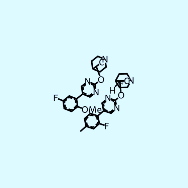 COc1ccc(F)cc1-c1cnc(OC2CN3CCC2CC3)nc1.Cc1ccc(-c2cnc(O[C@H]3CN4CCC3CC4)nc2)c(F)c1